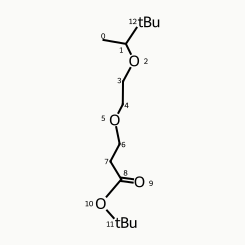 CC(OCCOCCC(=O)OC(C)(C)C)C(C)(C)C